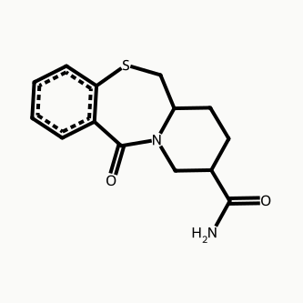 NC(=O)C1CCC2CSc3ccccc3C(=O)N2C1